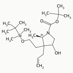 C=CCC1(CCO[Si](C)(C)C(C)(C)C)C(O)CN(C(=O)OC(C)(C)C)[C@@H]1C